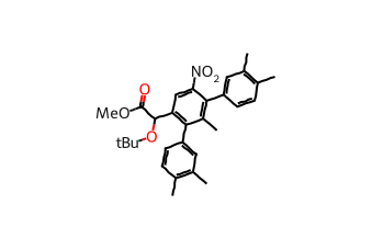 COC(=O)C(OC(C)(C)C)c1cc([N+](=O)[O-])c(-c2ccc(C)c(C)c2)c(C)c1-c1ccc(C)c(C)c1